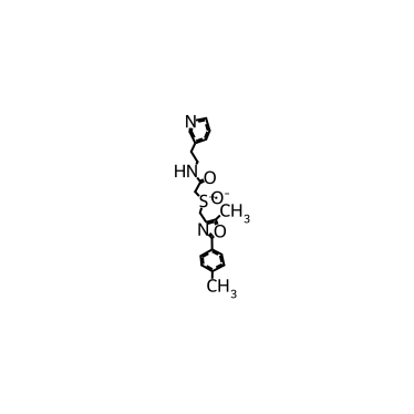 Cc1ccc(-c2nc(C[S+]([O-])CC(=O)NCCc3cccnc3)c(C)o2)cc1